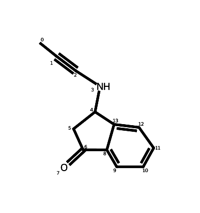 CC#CNC1CC(=O)c2ccccc21